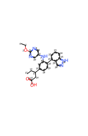 CCOc1ncc(Nc2cc(C(CC)CC(=O)O)ccc2-c2cccc3[nH]ncc23)cn1